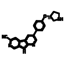 N#Cc1cc2c(cn1)[nH]c1ncc(-c3ccc(O[C@@H]4CCNC4)cc3)cc12